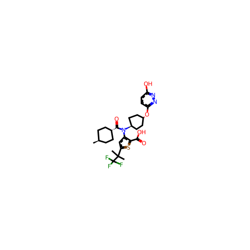 CC(C)(c1cc(N(C(=O)[C@H]2CC[C@H](C)CC2)[C@H]2CC[C@H](Oc3ccc(O)nn3)CC2)c(C(=O)O)s1)C(F)(F)F